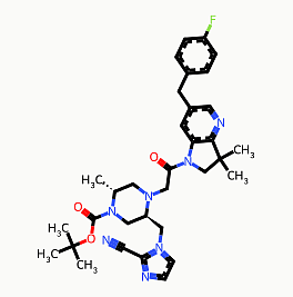 C[C@@H]1CN(CC(=O)N2CC(C)(C)c3ncc(Cc4ccc(F)cc4)cc32)[C@@H](Cn2ccnc2C#N)CN1C(=O)OC(C)(C)C